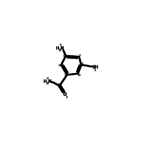 NC(=O)c1cc(N)cc(S)c1